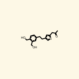 CC(=O)Cc1cc(CCc2ccc(CO)c(CO)c2)cs1